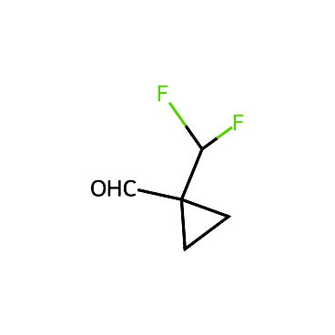 O=CC1(C(F)F)CC1